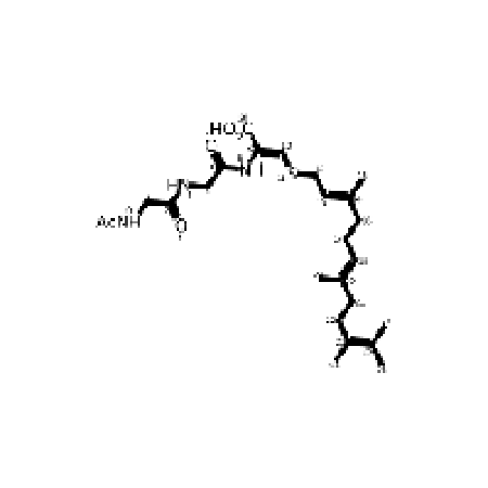 CC(=O)NCC(=O)NCC(=O)N/C(=C\SC/C=C(\C)CC/C=C(\C)CCC(C)=C(C)C)C(=O)O